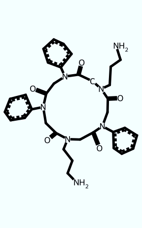 NCCCN1CC(=O)N(c2ccccc2)CC(=O)N(CCCN)CC(=O)N(c2ccccc2)CC(=O)N(c2ccccc2)CC1=O